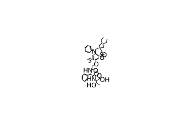 CCCCC1(CCCC)CN(c2ccccc2)c2cc(SC)c(OCC(=O)N[C@@H](C(=O)N[C@H](C(=O)O)C(C)O)c3ccccc3)cc2S(=O)(=O)C1